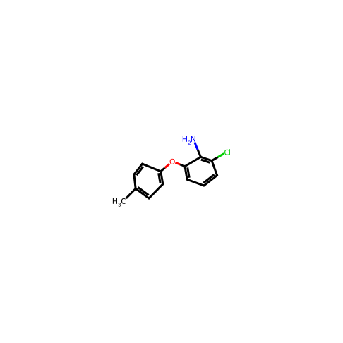 Cc1ccc(Oc2cccc(Cl)c2N)cc1